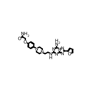 NC(=O)COc1ccc(N2CCN(CCNc3nc(N)n4nc(-c5ccco5)nc4n3)CC2)cc1